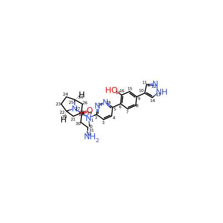 CN(c1ccc(-c2ccc(-c3cn[nH]c3)cc2O)nn1)[C@H]1C[C@H]2CC[C@@H](C1)N2C(=O)CCN